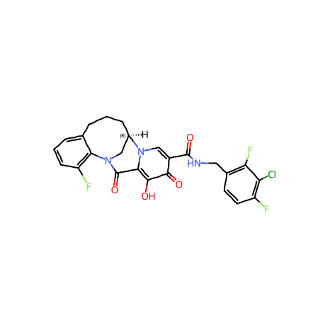 O=C(NCc1ccc(F)c(Cl)c1F)c1cn2c(c(O)c1=O)C(=O)N1C[C@H]2CCCc2cccc(F)c21